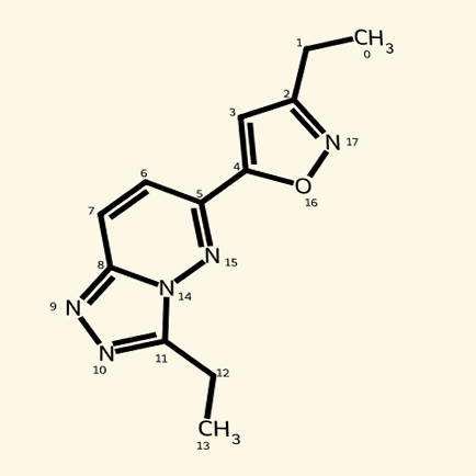 CCc1cc(-c2ccc3nnc(CC)n3n2)on1